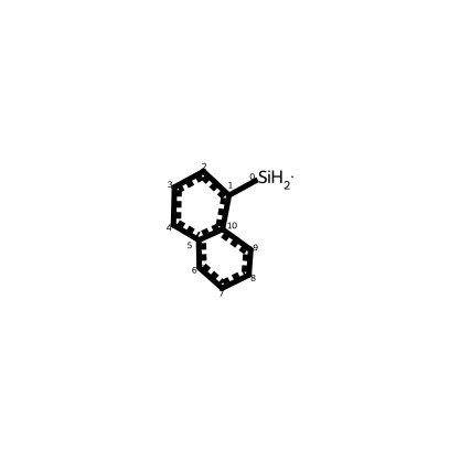 [SiH2]c1cccc2ccccc12